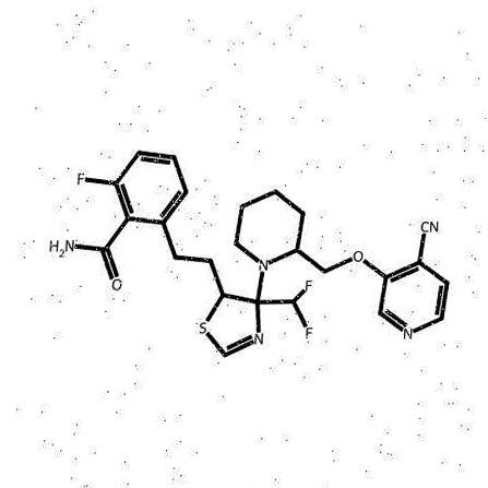 N#Cc1ccncc1OCC1CCCCN1C1(C(F)F)N=CSC1CCc1cccc(F)c1C(N)=O